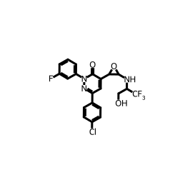 O=c1c(C2OC2NC(CO)C(F)(F)F)cc(-c2ccc(Cl)cc2)nn1-c1cccc(F)c1